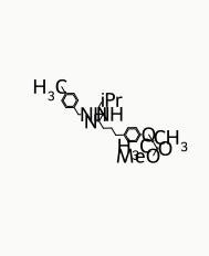 COC(=O)C(C)(C)Oc1ccc(CCC/C(=N/NCc2ccc(C)cc2)NCC(C)C)cc1